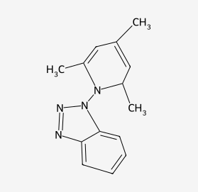 CC1=CC(C)N(n2nnc3ccccc32)C(C)=C1